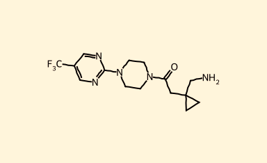 NCC1(CC(=O)N2CCN(c3ncc(C(F)(F)F)cn3)CC2)CC1